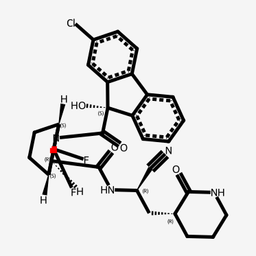 N#C[C@@H](C[C@H]1CCCNC1=O)NC(=O)[C@H]1[C@@H]2CC[C@@H](CC2(F)F)N1C(=O)[C@]1(O)c2ccccc2-c2ccc(Cl)cc21